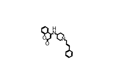 O=c1cc(NC2CCN(CC=Cc3ccccc3)CC2)c2ccccc2o1